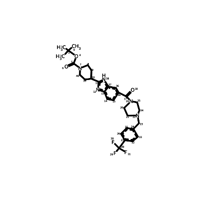 CC(C)(C)OC(=O)N1CCC(c2nc3ccc(C(=O)N4CCN(Cc5ccc(C(F)(F)F)cc5)CC4)cc3[nH]2)CC1